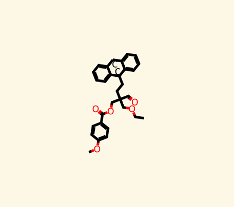 CCOCC(C=O)(CCC12CCC(c3ccccc31)c1ccccc12)COC(=O)c1ccc(OC)cc1